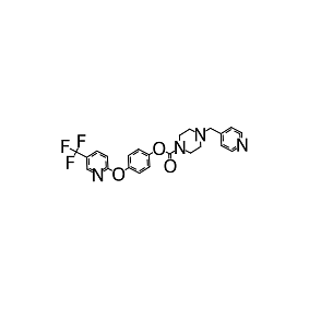 O=C(Oc1ccc(Oc2ccc(C(F)(F)F)cn2)cc1)N1CCN(Cc2ccncc2)CC1